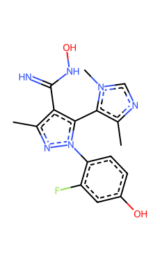 Cc1nn(-c2ccc(O)cc2F)c(-c2c(C)ncn2C)c1C(=N)NO